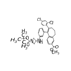 COC(=O)c1ccc2c(c1)CCCC(c1ccc(Cl)cc1Cl)=C2c1cccc(NC2CN(C(=O)OC(C)(C)C)C2)c1